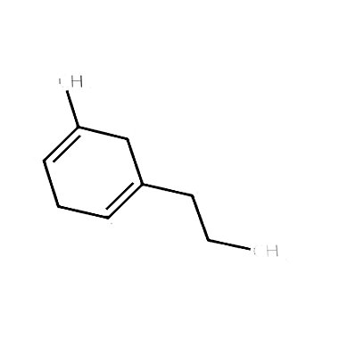 CCCC1=CCC=C(C)C1